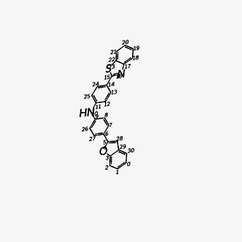 c1ccc2oc(-c3ccc(Nc4ccc(-c5nc6ccccc6s5)cc4)cc3)cc2c1